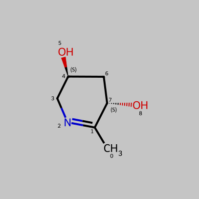 CC1=NC[C@@H](O)C[C@@H]1O